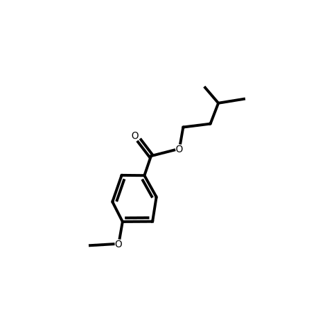 COc1ccc(C(=O)OCCC(C)C)cc1